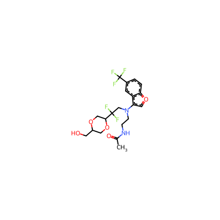 CC(=O)NCCN(CC(F)(F)C1COC(CO)CO1)c1coc2ccc(C(F)(F)F)cc12